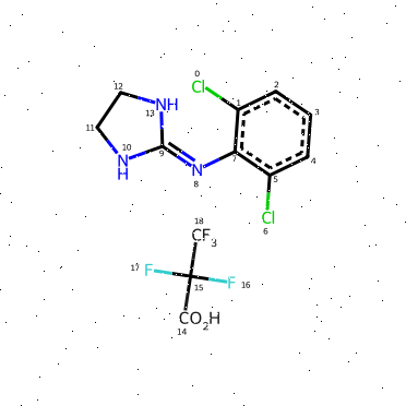 Clc1cccc(Cl)c1N=C1NCCN1.O=C(O)C(F)(F)C(F)(F)F